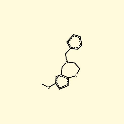 COc1ccc2c(c1)CN(Cc1ccccc1)CCS2